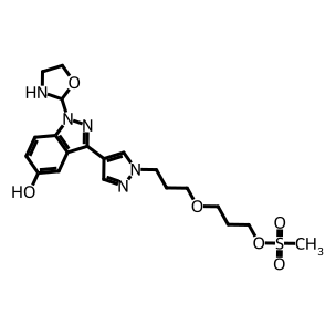 CS(=O)(=O)OCCCOCCCn1cc(-c2nn(C3NCCO3)c3ccc(O)cc23)cn1